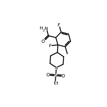 CCS(=O)(=O)N1CCC(C2(F)C(C)=CC=C(F)C2C(N)=O)CC1